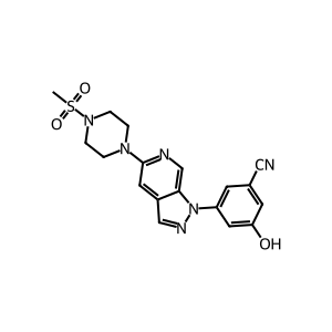 CS(=O)(=O)N1CCN(c2cc3cnn(-c4cc(O)cc(C#N)c4)c3cn2)CC1